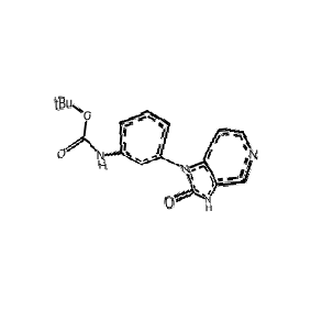 CC(C)(C)OC(=O)Nc1cccc(-n2c(=O)[nH]c3cnccc32)c1